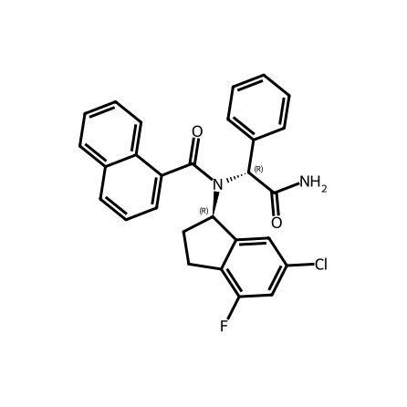 NC(=O)[C@@H](c1ccccc1)N(C(=O)c1cccc2ccccc12)[C@@H]1CCc2c(F)cc(Cl)cc21